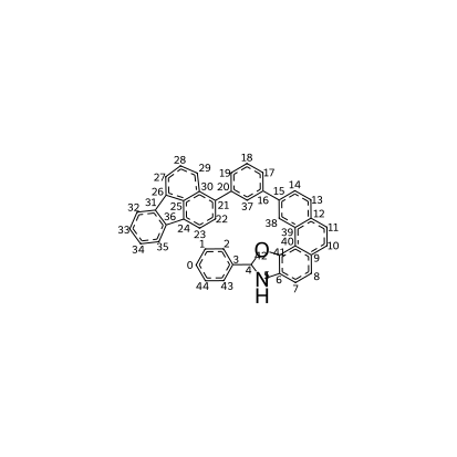 c1ccc(C2Nc3ccc4ccc5ccc(-c6cccc(-c7ccc8c9c(cccc79)-c7ccccc7-8)c6)cc5c4c3O2)cc1